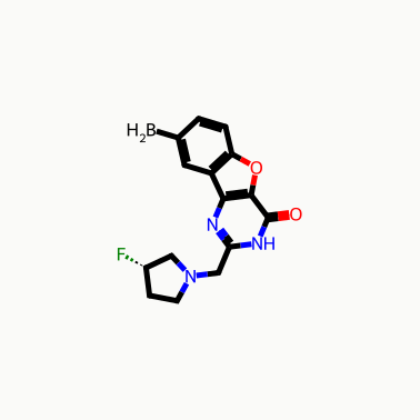 Bc1ccc2oc3c(=O)[nH]c(CN4CC[C@H](F)C4)nc3c2c1